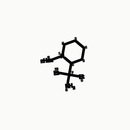 CCCCCCN1CCCCC1C(N)(CC)CC